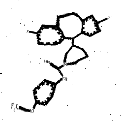 N=C(Nc1ccc(OC(F)(F)F)cc1)N1CCCC(C2c3ccc(F)cc3CCc3cc(F)ccc32)C1